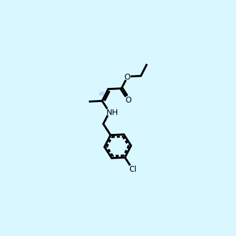 CCOC(=O)/C=C(/C)NCc1ccc(Cl)cc1